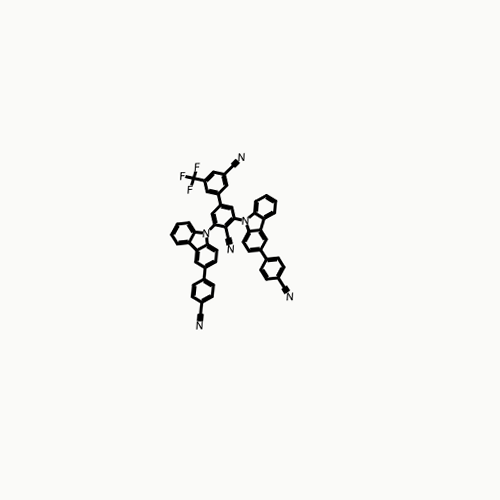 N#Cc1ccc(-c2ccc3c(c2)c2ccccc2n3-c2cc(-c3cc(C#N)cc(C(F)(F)F)c3)cc(-n3c4ccccc4c4cc(-c5ccc(C#N)cc5)ccc43)c2C#N)cc1